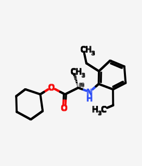 CCc1cccc(CC)c1N[C@@H](C)C(=O)OC1CCCCC1